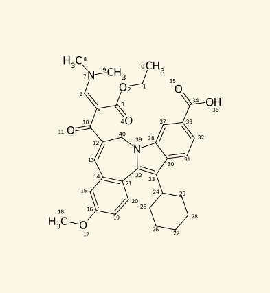 CCOC(=O)/C(=C\N(C)C)C(=O)C1=Cc2cc(OC)ccc2-c2c(C3CCCCC3)c3ccc(C(=O)O)cc3n2C1